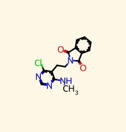 CNc1ncnc(Cl)c1CCN1C(=O)c2ccccc2C1=O